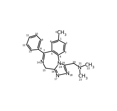 Cc1ccc2c(c1)C(c1ccccc1)=NCc1nnc(CN(C)C)n1-2